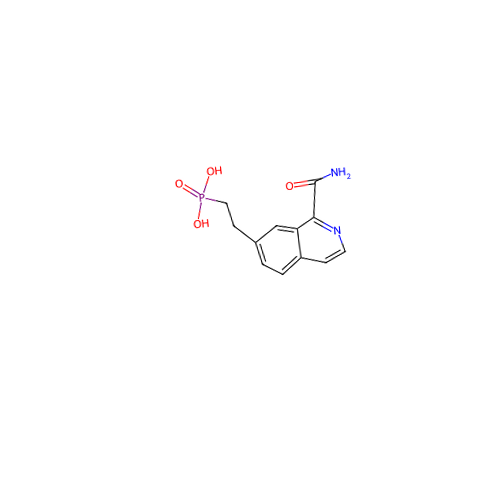 NC(=O)c1nccc2ccc(CCP(=O)(O)O)cc12